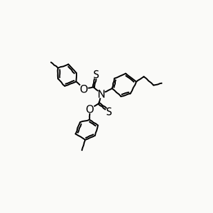 CCCc1ccc(N(C(=S)Oc2ccc(C)cc2)C(=S)Oc2ccc(C)cc2)cc1